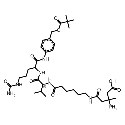 CC(C)[C@H](NC(=O)CCCCCNC(=O)CC(C)(P)CC(=O)O)C(=O)NC(CCCNC(N)=O)C(=O)Nc1ccc(COC(=O)C(C)(C)C)cc1